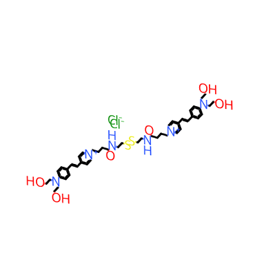 O=C(CCC[n+]1ccc(C=Cc2ccc(N(CCO)CCO)cc2)cc1)NCCSSCCNC(=O)CCC[n+]1ccc(C=Cc2ccc(N(CCO)CCO)cc2)cc1.[Cl-].[Cl-]